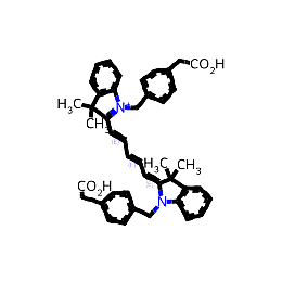 CC1(C)C(/C=C/C=C/C=C2/N(Cc3ccc(CC(=O)O)cc3)c3ccccc3C2(C)C)=[N+](Cc2ccc(CC(=O)O)cc2)c2ccccc21